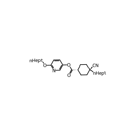 CCCCCCCOc1ccc(OC(=O)[C@H]2CC[C@@](C#N)(CCCCCCC)CC2)cn1